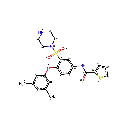 Cc1cc(C)cc(Oc2ccc(NC(=O)c3cccs3)cc2S(=O)(=O)N2CCNCC2)c1